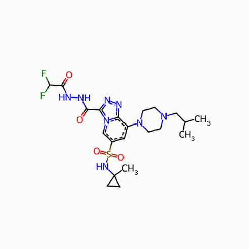 CC(C)CN1CCN(c2cc(S(=O)(=O)NC3(C)CC3)cn3c(C(=O)NNC(=O)C(F)F)nnc23)CC1